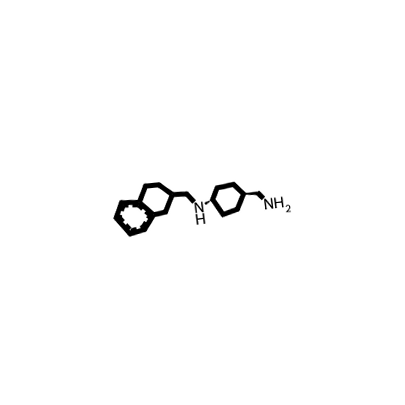 NC[C@H]1CC[C@H](NCC2CCc3ccccc3C2)CC1